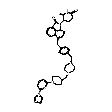 O=C1CCC(N2C(=O)c3cccc4c(Cc5ccc(CN6CCN(CC7CCN(c8cccc(-n9ccnc9)n8)CC7)CC6)cc5)ccc2c34)C(=O)N1